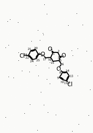 O=C1CC(=O)C(COc2ccc(Cl)cc2)CC1COc1ccc(Cl)cc1